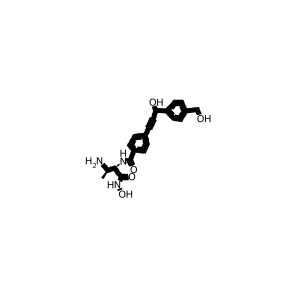 C[C@@H](N)[C@H](NC(=O)c1ccc(C#CC(O)c2ccc(CO)cc2)cc1)C(=O)NO